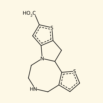 O=C(O)c1cc2c(s1)CC1c3sccc3CNCCN21